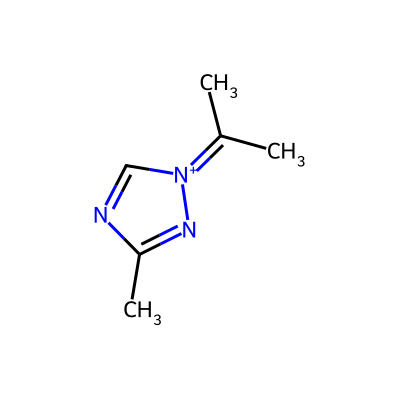 CC1=N[N+](=C(C)C)C=N1